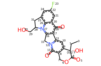 CC[C@@]1(O)C(=O)OCc2c1cc1n(c2=O)Cc2c-1c(=O)c1cc(F)cc3c1n2C(CO)C3